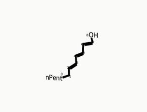 CCCCCC/C=C/C=C/C=C/O